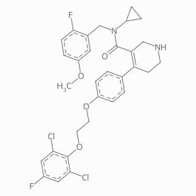 COc1ccc(F)c(CN(C(=O)C2=C(c3ccc(OCCOc4c(Cl)cc(F)cc4Cl)cc3)CCNC2)C2CC2)c1